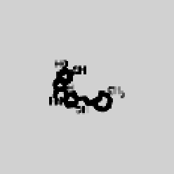 CC1\C=C/C=C\C(\C=C\c2cc3c(cc2O)NCC2Cc4cc(O)c(O)cc4[C@H]32)=C\C1